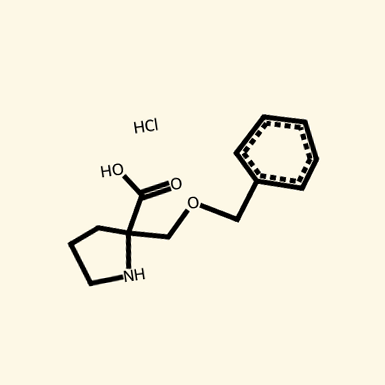 Cl.O=C(O)C1(COCc2ccccc2)CCCN1